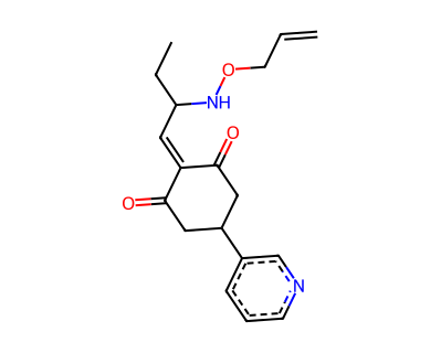 C=CCONC(C=C1C(=O)CC(c2cccnc2)CC1=O)CC